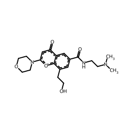 CN(C)CCNC(=O)c1cc(CCO)c2oc(N3CCOCC3)cc(=O)c2c1